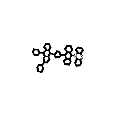 c1ccc(-c2ccc3c(-c4ccc(-c5c6ccccc6c(N6c7ccccc7Sc7ccccc76)c6ccccc56)cc4)c4ccccc4c(-c4ccccc4)c3c2)cc1